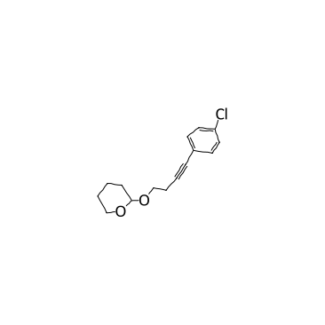 Clc1ccc(C#CCCOC2CCCCO2)cc1